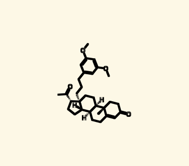 COc1cc(CCC[C@]23CC[C@@H]4[C@@H](CCC5=CC(=O)CC[C@]54C)[C@@H]2CC[C@@H]3C(C)=O)cc(OC)c1